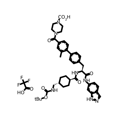 Cc1cc(C(=O)N2CCN(C(=O)O)CC2)ccc1-c1ccc(C[C@H](NC(=O)[C@H]2CC[C@H](CNC(=O)OC(C)(C)C)CC2)C(=O)Nc2ccc3cn[nH]c3c2)cc1.O=C(O)C(F)(F)F